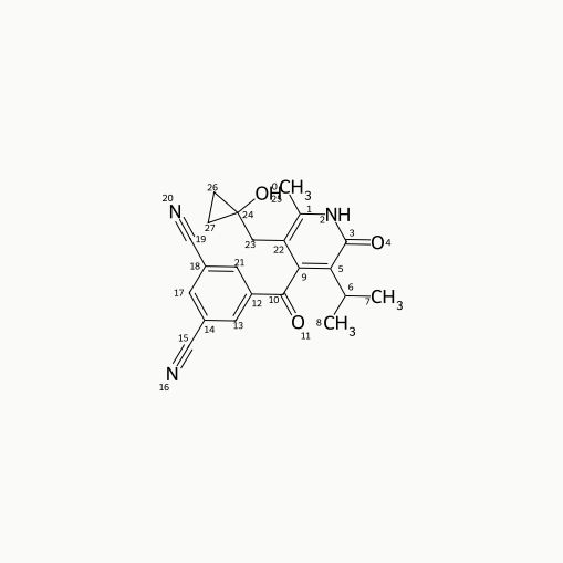 Cc1[nH]c(=O)c(C(C)C)c(C(=O)c2cc(C#N)cc(C#N)c2)c1CC1(O)CC1